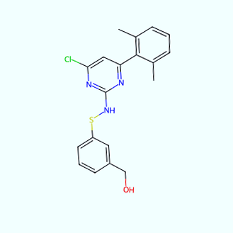 Cc1cccc(C)c1-c1cc(Cl)nc(NSc2cccc(CO)c2)n1